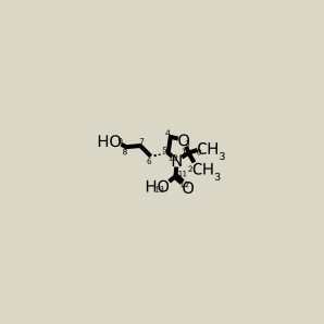 CC1(C)OC[C@@H](CCCO)N1C(=O)O